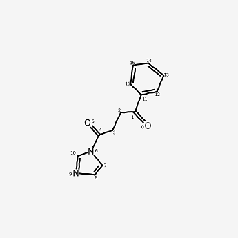 O=C(CCC(=O)n1ccnc1)c1ccccc1